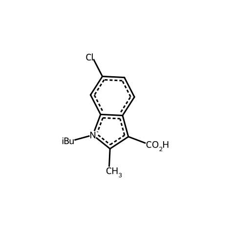 CCC(C)n1c(C)c(C(=O)O)c2ccc(Cl)cc21